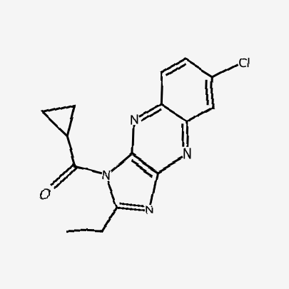 CCc1nc2nc3cc(Cl)ccc3nc2n1C(=O)C1CC1